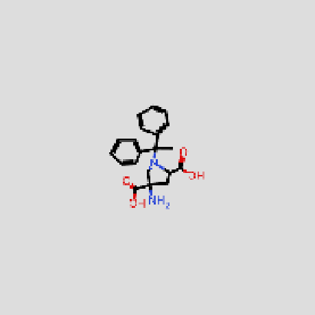 CC(c1ccccc1)(c1ccccc1)N1CC(N)(C(=O)O)CC1C(=O)O